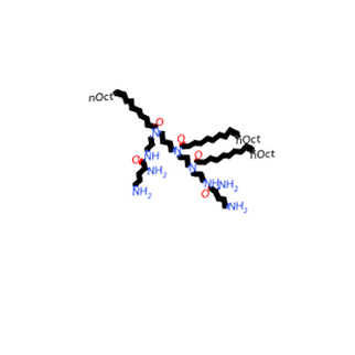 CCCCCCCC/C=C\CCCCCCCC(=O)N(CCCCN(CCCN(CCCNC(=O)[C@@H](N)CCCN)C(=O)CCCCCCC/C=C\CCCCCCCC)C(=O)CCCCCCC/C=C\CCCCCCCC)CCCNC(=O)[C@@H](N)CCCN